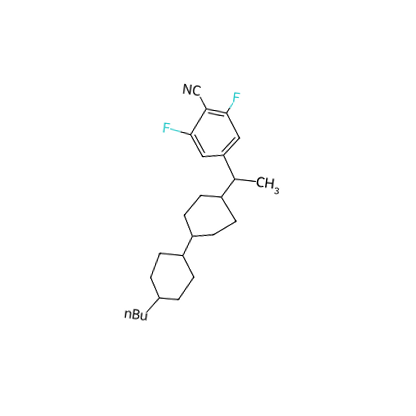 CCCCC1CCC(C2CCC(C(C)c3cc(F)c(C#N)c(F)c3)CC2)CC1